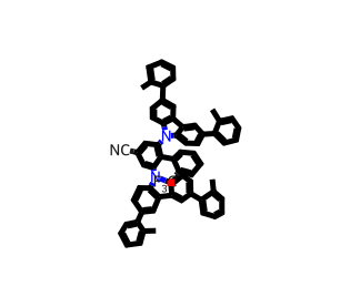 Cc1ccccc1-c1ccc2c(c1)c1cc(-c3ccccc3C)ccc1n2-c1cc(C#N)cc(-n2c3ccc(-c4ccccc4C)cc3c3cc(-c4ccccc4C)ccc32)c1-c1ccccc1C(F)(F)F